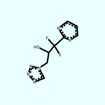 OC(Cn1cnnn1)C(F)(F)c1ncccn1